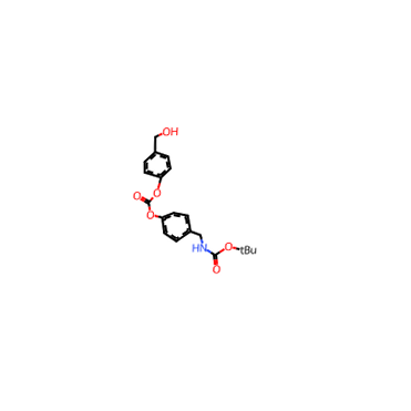 CC(C)(C)OC(=O)NCc1ccc(OC(=O)Oc2ccc(CO)cc2)cc1